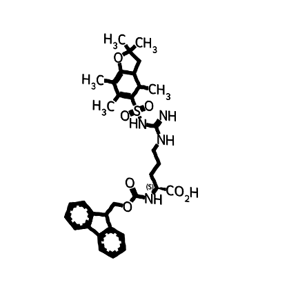 CC1=C2OC(C)(C)CC2C(C)C(S(=O)(=O)NC(=N)NCCC[C@H](NC(=O)OCC2c3ccccc3-c3ccccc32)C(=O)O)=C1C